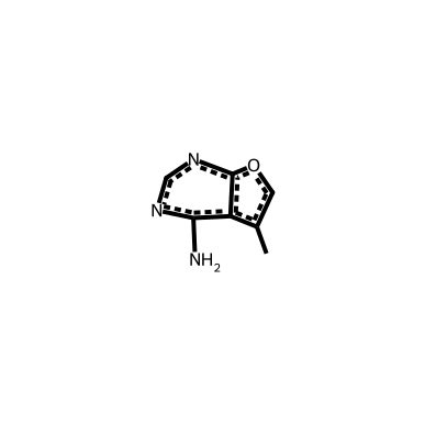 Cc1coc2ncnc(N)c12